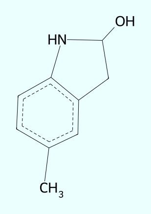 Cc1ccc2c(c1)CC(O)N2